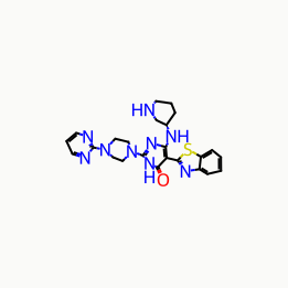 O=c1[nH]c(N2CCN(c3ncccn3)CC2)nc(N[C@@H]2CCCNC2)c1-c1nc2ccccc2s1